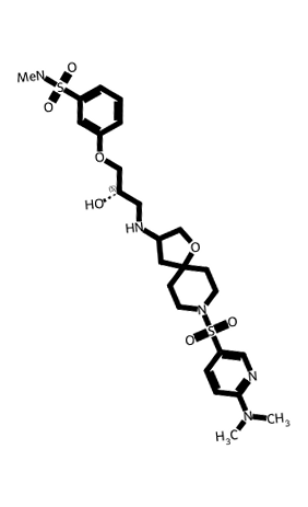 CNS(=O)(=O)c1cccc(OC[C@@H](O)CNC2COC3(CCN(S(=O)(=O)c4ccc(N(C)C)nc4)CC3)C2)c1